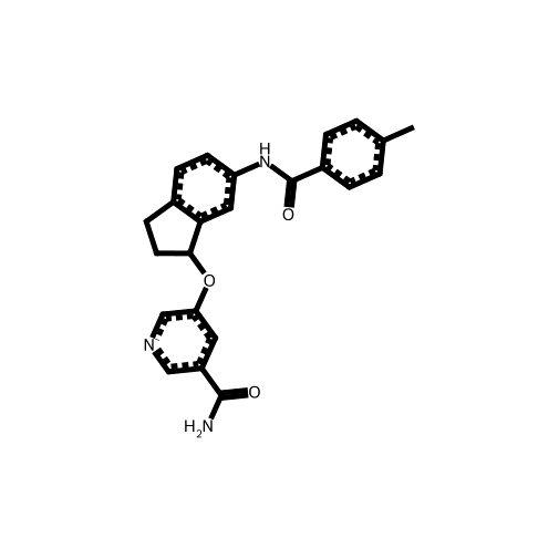 Cc1ccc(C(=O)Nc2ccc3c(c2)C(Oc2cncc(C(N)=O)c2)CC3)cc1